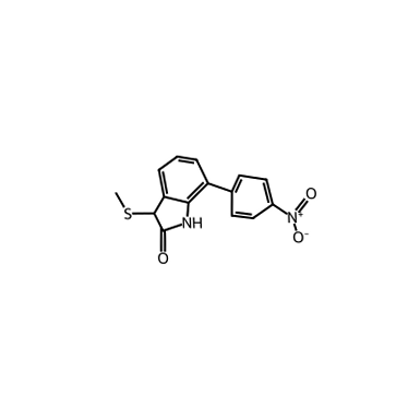 CSC1C(=O)Nc2c(-c3ccc([N+](=O)[O-])cc3)cccc21